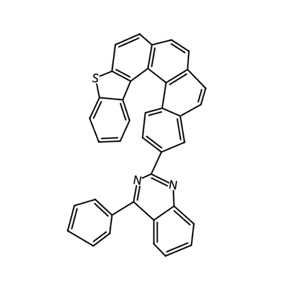 c1ccc(-c2nc(-c3ccc4c(ccc5ccc6ccc7sc8ccccc8c7c6c54)c3)nc3ccccc23)cc1